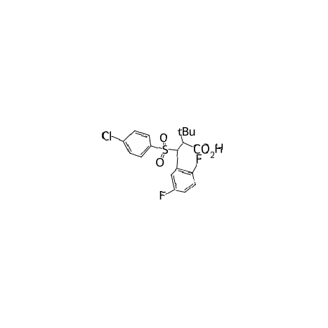 CC(C)(C)C(C(=O)O)C(c1cc(F)ccc1F)S(=O)(=O)c1ccc(Cl)cc1